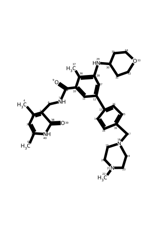 Cc1cc(C)c(CNC(=O)c2cc(-c3ccc(CN4CCN(C)CC4)cc3)cc(NC3CCOCC3)c2C)c(=O)[nH]1